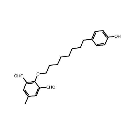 Cc1cc(C=O)c(OCCCCCCCCc2ccc(O)cc2)c(C=O)c1